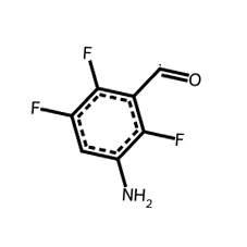 Nc1cc(F)c(F)c([C]=O)c1F